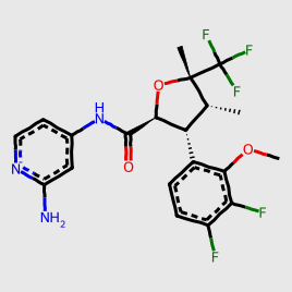 COc1c([C@@H]2[C@@H](C(=O)Nc3ccnc(N)c3)O[C@](C)(C(F)(F)F)[C@@H]2C)ccc(F)c1F